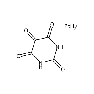 O=C1NC(=O)C(=O)C(=O)N1.[PbH2]